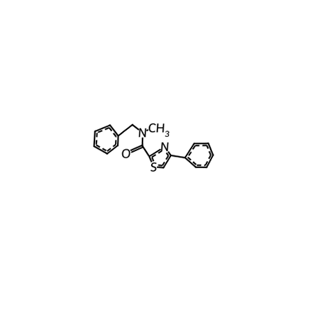 CN(Cc1ccccc1)C(=O)c1nc(-c2ccccc2)cs1